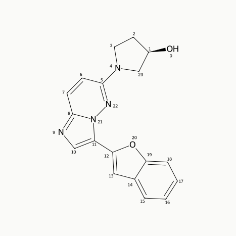 O[C@@H]1CCN(c2ccc3ncc(-c4cc5ccccc5o4)n3n2)C1